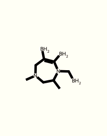 BCN1C(B)=C(B)CN(C)CC1C